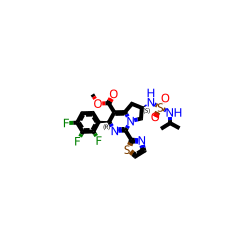 COC(=O)C1=C2C[C@H](NS(=O)(=O)NC(C)C)CN2C(c2nccs2)=N[C@H]1c1ccc(F)c(F)c1F